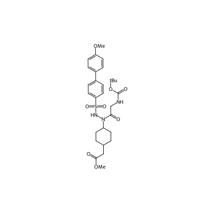 COC(=O)CC1CCC(N(NS(=O)(=O)c2ccc(-c3ccc(OC)cc3)cc2)C(=O)CNC(=O)OC(C)(C)C)CC1